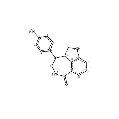 Nc1ccc(C2CNC(=O)c3cccc4c3C2CN4)cc1